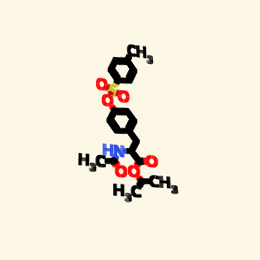 CC(=O)NC(Cc1ccc(OS(=O)(=O)c2ccc(C)cc2)cc1)C(=O)OC(C)C